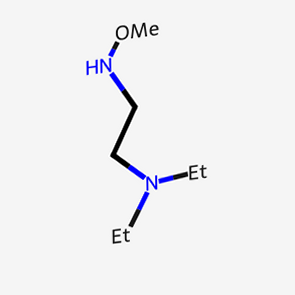 CCN(CC)CCNOC